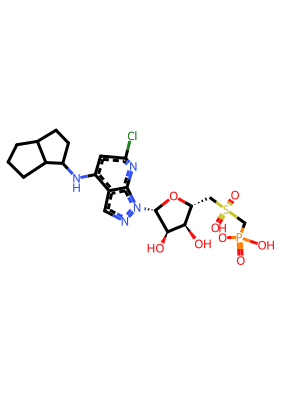 O=P(O)(O)CS(=O)(=O)C[C@H]1O[C@@H](n2ncc3c(NC4CCC5CCCC54)cc(Cl)nc32)[C@H](O)[C@@H]1O